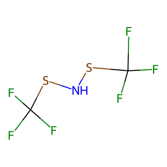 FC(F)(F)SNSC(F)(F)F